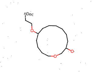 [CH2]CCCCCCCCCCCOC1CCCCCCC([O])COCCCC1